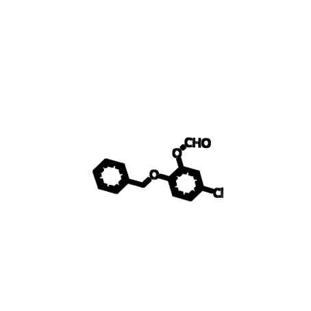 O=COc1cc(Cl)ccc1OCc1ccccc1